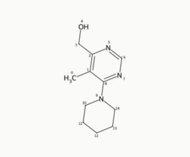 Cc1c(CO)n[c]nc1N1CCCCC1